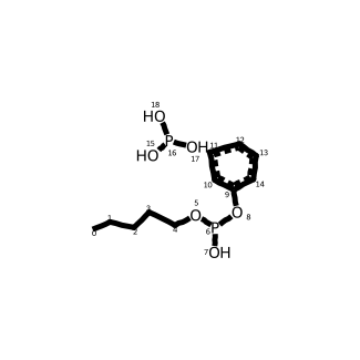 CCCCCOP(O)Oc1ccccc1.OP(O)O